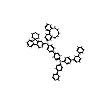 c1ccc(-c2ccc(N(c3ccc(-c4ccc(N(c5ccc6c(c5)CCCCCc5ccccc5-6)c5ccc6c(c5)C5(CCCCC5)c5ccccc5-6)cc4)cc3)c3ccc(-c4cccc(-c5ccccc5)c4)cc3)cc2)cc1